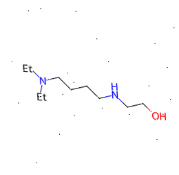 CCN(CC)CCCCNCCO